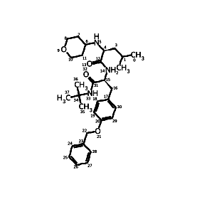 CC(C)C[C@H](NC1CCOCC1)C(=O)N[C@@H](Cc1ccc(OCc2ccccc2)cc1)C(=O)NC(C)(C)C